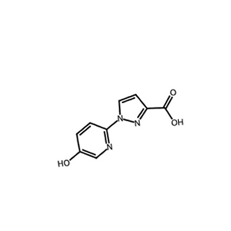 O=C(O)c1ccn(-c2ccc(O)cn2)n1